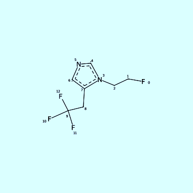 FCCn1[c]n[c]c1CC(F)(F)F